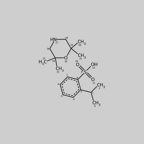 CC(C)c1ccccc1S(=O)(=O)O.CC1(C)CNCC(C)(C)O1